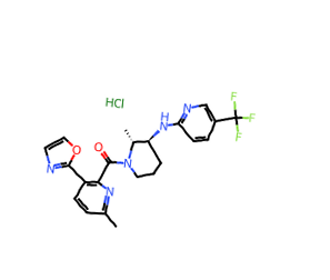 Cc1ccc(-c2ncco2)c(C(=O)N2CCC[C@H](Nc3ccc(C(F)(F)F)cn3)[C@H]2C)n1.Cl